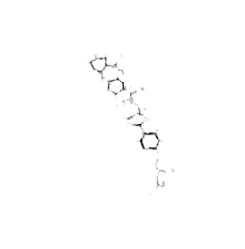 CNCC(O)COc1ccc(-c2ncc(CNC(=O)c3ccc4c(c3)NC(=O)c3ccccc3S4)s2)cc1